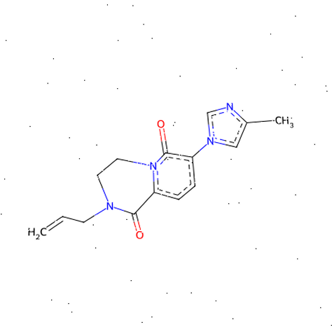 C=CCN1CCn2c(ccc(-n3cnc(C)c3)c2=O)C1=O